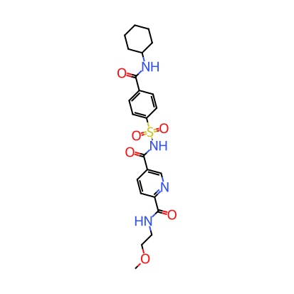 COCCNC(=O)c1ccc(C(=O)NS(=O)(=O)c2ccc(C(=O)NC3CCCCC3)cc2)cn1